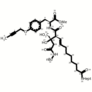 CC#CCOc1ccc(C[C@H](NC(=O)[C@@H](C=CCCCCCCC(=O)CCCCCCC)[C@@](O)(CC(=O)NCCCC)C(=O)O)C(=O)OC)cc1